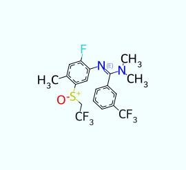 Cc1cc(F)c(/N=C(\c2cccc(C(F)(F)F)c2)N(C)C)cc1[S+]([O-])CC(F)(F)F